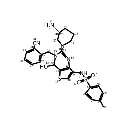 Cc1ccc(S(=O)(=O)Nc2csc3c2N=C(N2CCC[C@@H](N)C2)N(Cc2ccccc2C#N)C3O)cc1